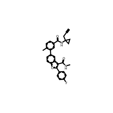 C#CCC1(NC(=O)c2ccc(C)c(-c3ccc4oc(-c5ccc(F)cc5)c(C(=O)NC)c4c3)c2)CC1